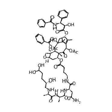 CC(=O)O[C@H]1C(=O)[C@@]2(C)C([C@H](OC(=O)c3ccccc3)[C@]3(O)C[C@H](OC(=O)[C@H](O)[C@@H](NC(=O)c4ccccc4)c4ccccc4)C(C)=C1C3(C)C)[C@]1(OC(C)=O)CO[C@@H]1C[C@@H]2OC(=O)CCCNC(=O)[C@@H](CC(N)=O)NC(=O)[C@@H](C)NC(=O)[C@@H](C)NC[C@@H](O)CCC(O)O